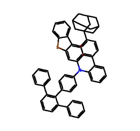 c1ccc(-c2cccc(-c3ccccc3)c2-c2ccc(N(c3ccc4c(c3)sc3ccccc34)c3ccccc3-c3ccc(C45CC6CC(CC(C6)C4)C5)cc3)cc2)cc1